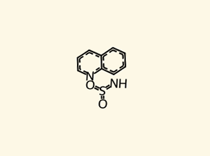 N=S(=O)=O.c1ccc2ncccc2c1